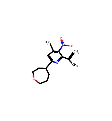 C=C(C)c1nc(C2CCCOCC2)cc(C)c1[N+](=O)[O-]